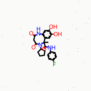 CC1(C(=O)Nc2ccc(F)cc2)c2cc(O)c(O)cc2NC(=O)CC(=O)N1C1CCCC1